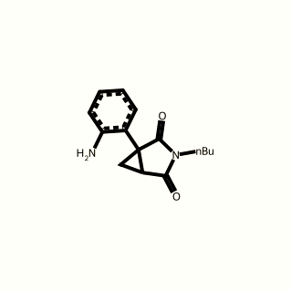 CCCCN1C(=O)C2CC2(c2ccccc2N)C1=O